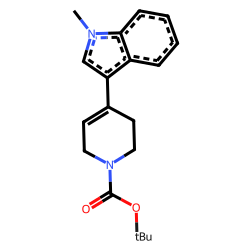 Cn1cc(C2=CCN(C(=O)OC(C)(C)C)CC2)c2ccccc21